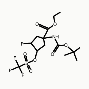 CCOC(=O)C1(NC(=O)OC(C)(C)C)CC(F)C(OS(=O)(=O)C(F)(F)F)C1